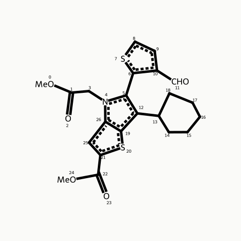 COC(=O)Cn1c(-c2sccc2C=O)c(C2CCCCC2)c2sc(C(=O)OC)cc21